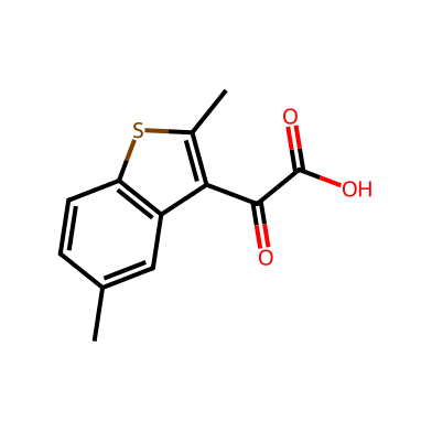 Cc1ccc2sc(C)c(C(=O)C(=O)O)c2c1